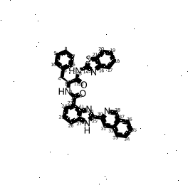 O=C(N[C@@H](Cc1ccccc1)C(=O)Nc1nc2ccccc2s1)c1cccc2[nH]c(-c3cc4ccccc4cn3)nc12